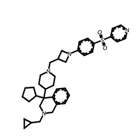 O=S(=O)(c1ccncc1)c1ccc(N2CC(CN3CCC(C4(C5CCCC5)CN(CC5CC5)Cc5ccccc54)CC3)C2)cc1